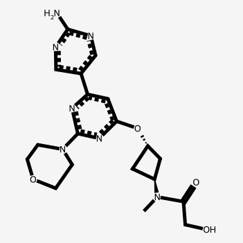 CN(C(=O)CO)[C@H]1C[C@H](Oc2cc(-c3cnc(N)nc3)nc(N3CCOCC3)n2)C1